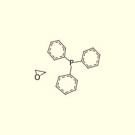 C1CO1.c1ccc(P(c2ccccc2)c2ccccc2)cc1